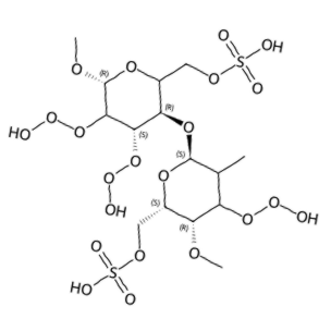 CO[C@@H]1OC(COS(=O)(=O)O)[C@@H](O[C@@H]2O[C@@H](COS(=O)(=O)O)[C@@H](OC)C(OOO)C2C)[C@H](OOO)C1OOO